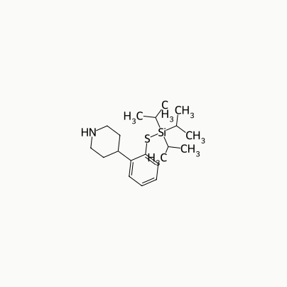 CC(C)[Si](Sc1ccccc1C1CCNCC1)(C(C)C)C(C)C